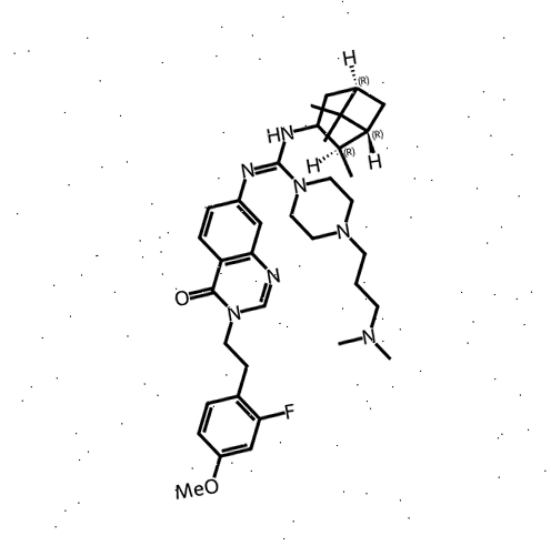 COc1ccc(CCn2cnc3cc(N=C(NC4C[C@H]5C[C@H]([C@H]4C)C5(C)C)N4CCN(CCCN(C)C)CC4)ccc3c2=O)c(F)c1